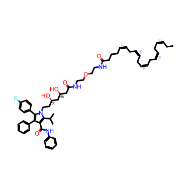 CC/C=C\C/C=C\C/C=C\C/C=C\C/C=C\CCCC(=O)NCCOCCNC(=O)C[C@H](O)C[C@H](O)CCn1c(-c2ccc(F)cc2)c(-c2ccccc2)c(C(=O)Nc2ccccc2)c1C(C)C